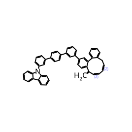 C=C1/C=C\C=C/Cc2ccccc2-c2cc(-c3cccc(-c4ccc(-c5cccc(-n6c7ccccc7c7ccccc76)c5)cc4)c3)ccc21